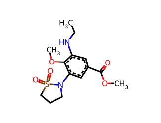 CCNc1cc(C(=O)OC)cc(N2CCCS2(=O)=O)c1OC